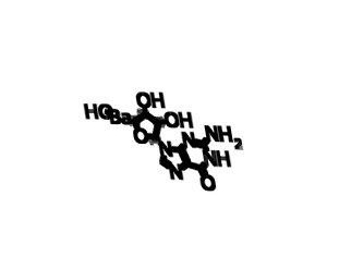 Nc1nc2c(ncn2[C@@H]2O[C@H]([Ba][OH])[C@@H](O)[C@H]2O)c(=O)[nH]1